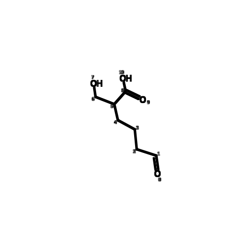 O=CCCCC(CO)C(=O)O